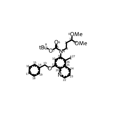 COC(CCN(C(=O)OC(C)(C)C)c1cc(OCc2ccccc2)c2ncccc2c1I)OC